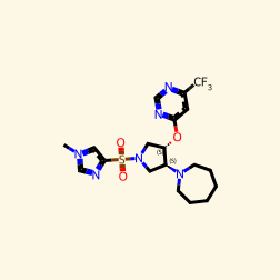 Cn1cnc(S(=O)(=O)N2C[C@H](Oc3cc(C(F)(F)F)ncn3)[C@@H](N3CCCCCC3)C2)c1